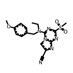 CCN(Cc1ccc(OC)cc1)c1nc(S(C)(=O)=O)nc2nc(C#N)cn12